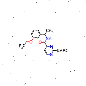 CC(=O)Nc1nccc(C(=O)NC(C)c2cccc(OCC(F)(F)F)c2)n1